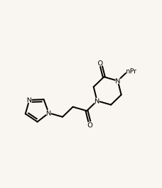 CCCN1CCN(C(=O)CCn2ccnc2)CC1=O